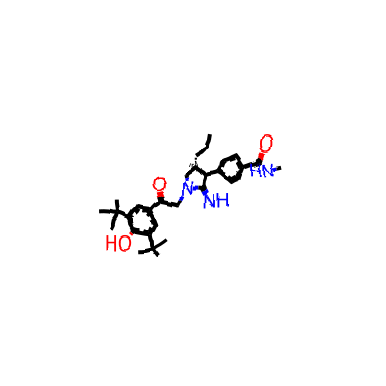 CCC[C@H]1CN(CC(=O)c2cc(C(C)(C)C)c(O)c(C(C)(C)C)c2)C(=N)C1c1ccc(C(=O)NC)cc1